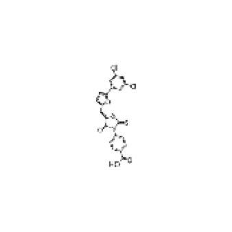 O=C(O)c1ccc(N2C(=O)C(=Cc3ccc(-c4cc(Cl)cc(Cl)c4)o3)SC2=S)cc1